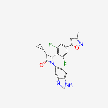 Cc1cc(-c2cc(F)c([C@H]3C(C4CC4)C(=O)N3c3ccc4[nH]cnc4c3)c(F)c2)on1